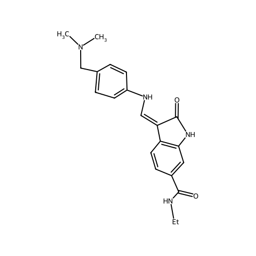 CCNC(=O)c1ccc2c(c1)NC(=O)C2=CNc1ccc(CN(C)C)cc1